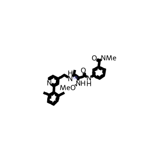 CNC(=O)c1cccc(NC(=O)/C(NOC)=C(\C)NCc2ccnc(-c3c(C)cccc3C)c2)c1